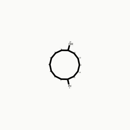 CC(=O)C1CCCCCCCC(O)CCCCC1